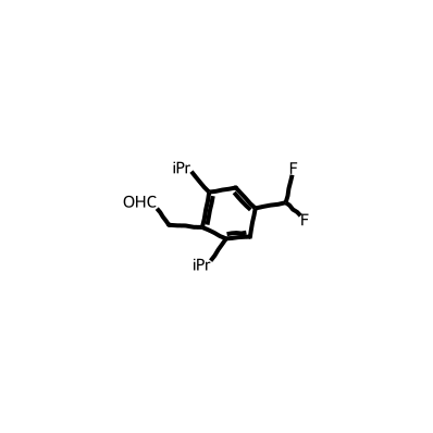 CC(C)c1cc(C(F)F)cc(C(C)C)c1CC=O